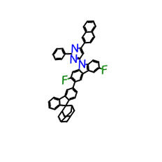 Fc1ccc2c(c1)c1cc(-c3ccc4c(c3)-c3ccccc3C43C4CC5CC(C4)CC3C5)c(F)cc1n2-c1cc(-c2ccc3ccccc3c2)nc(-c2ccccc2)n1